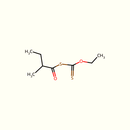 CCOC(=S)SC(=O)C(C)CC